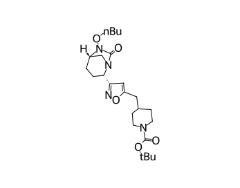 CCCCON1C(=O)N2C[C@@H]1CC[C@H]2c1cc(CC2CCN(C(=O)OC(C)(C)C)CC2)on1